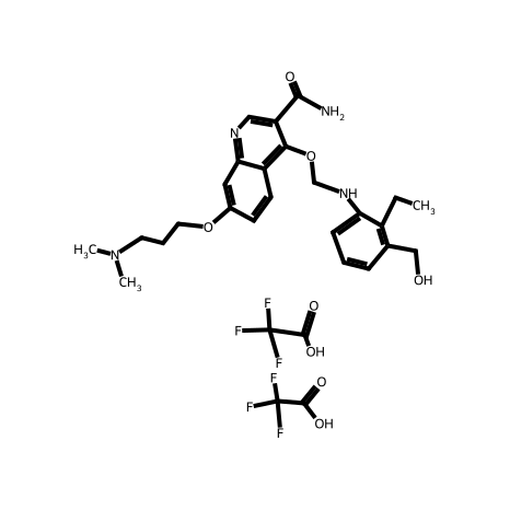 CCc1c(CO)cccc1NCOc1c(C(N)=O)cnc2cc(OCCCN(C)C)ccc12.O=C(O)C(F)(F)F.O=C(O)C(F)(F)F